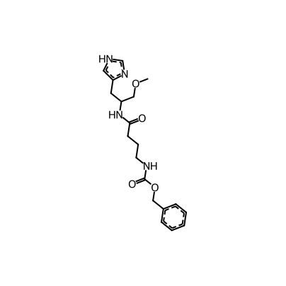 COCC(Cc1c[nH]cn1)NC(=O)CCCNC(=O)OCc1ccccc1